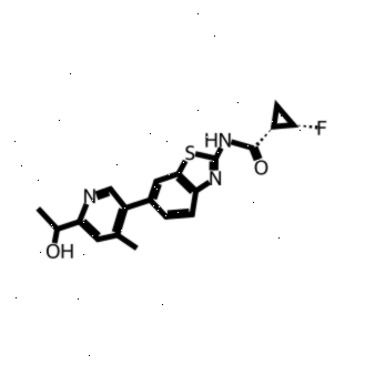 Cc1cc(C(C)O)ncc1-c1ccc2nc(NC(=O)[C@@H]3C[C@@H]3F)sc2c1